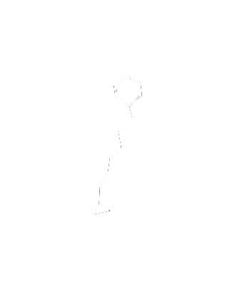 c1ccc(OCCCCCC2CO2)cc1